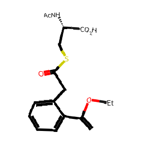 C=C(OCC)c1ccccc1CC(=O)SC[C@H](NC(C)=O)C(=O)O